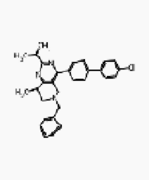 CC(C)c1nc(-c2ccc(-c3ccc(Cl)cc3)cc2)c2c(n1)C(C)CN(Cc1ccccc1)C2